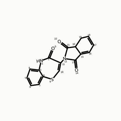 O=C1Nc2ccccc2SC=C1N1C(=O)C2=CC=CCC2C1=O